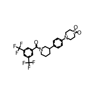 O=C(c1cc(C(F)(F)F)cc(C(F)(F)F)c1)N1CCCC(c2ccc(N3CCS(=O)(=O)CC3)cc2)C1